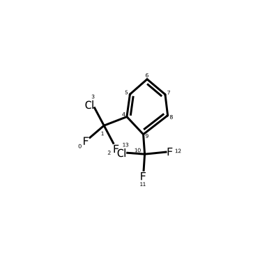 FC(F)(Cl)c1ccccc1C(F)(F)Cl